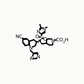 Cc1nc(S(=O)(=O)N(CC2CCN(C(=O)O)CC2)C2Cc3cc(C#N)ccc3N(Cc3cncn3C)C2)cn1C